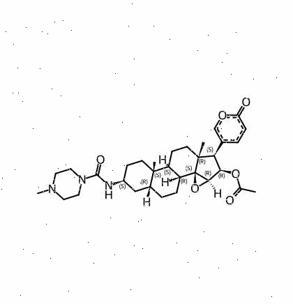 CC(=O)O[C@H]1[C@H]2O[C@]23[C@@H]2CC[C@@H]4C[C@@H](NC(=O)N5CCN(C)CC5)CC[C@]4(C)[C@H]2CC[C@]3(C)[C@H]1c1ccc(=O)oc1